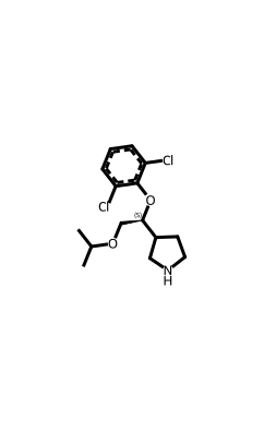 CC(C)OC[C@@H](Oc1c(Cl)cccc1Cl)C1CCNC1